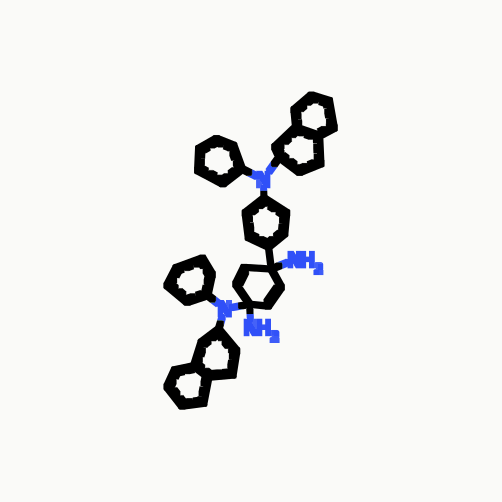 NC1(c2ccc(N(c3ccccc3)c3ccc4ccccc4c3)cc2)C=CC(N)(N(c2ccccc2)c2ccc3ccccc3c2)C=C1